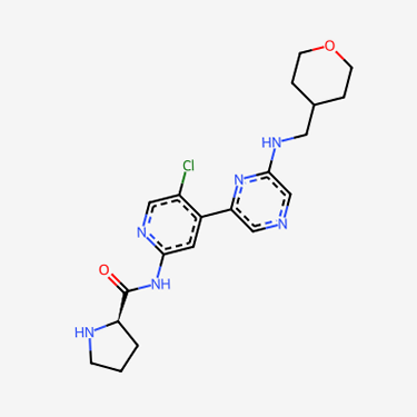 O=C(Nc1cc(-c2cncc(NCC3CCOCC3)n2)c(Cl)cn1)[C@H]1CCCN1